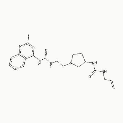 C=CCNC(=O)NC1CCN(CCNC(=O)Nc2cc(C)nc3ccccc23)C1